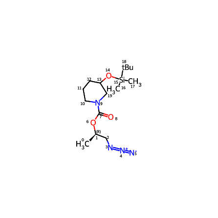 C[C@H](CN=[N+]=[N-])OC(=O)N1CCCC(O[Si](C)(C)C(C)(C)C)C1